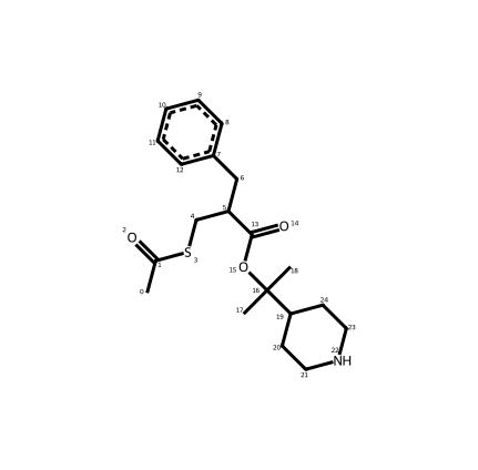 CC(=O)SCC(Cc1ccccc1)C(=O)OC(C)(C)C1CCNCC1